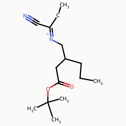 CCCC(C/N=C(/C#N)CC)CC(=O)OC(C)(C)C